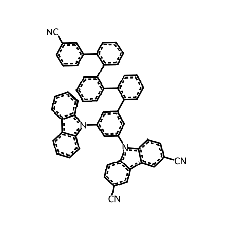 N#Cc1cccc(-c2ccccc2-c2ccccc2-c2ccccc2-c2cc(-n3c4ccccc4c4ccccc43)cc(-n3c4ccc(C#N)cc4c4cc(C#N)ccc43)c2)c1